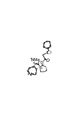 CNC(=S)[C@]1(c2cccnc2)CCCC[C@H]1OC(=O)COc1ccccc1